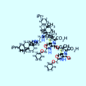 CC(C)c1ccc2c(c1)CC[C@H]1[C@](C)(CNCCNC[C@]3(C)CCC[C@]4(C)c5ccc(C(C)C)cc5CC[C@@H]34)CCC[C@]21C.CC1(C)S[C@@H]2[C@H](NC(=O)COc3ccccc3)C(=O)N2[C@H]1C(=O)O.CC1(C)S[C@@H]2[C@H](NC(=O)COc3ccccc3)C(=O)N2[C@H]1C(=O)O